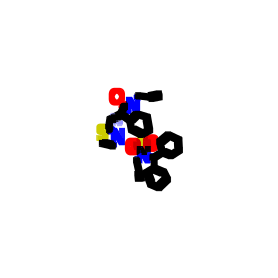 C#CCN1C(=O)/C(=C/c2nccs2)c2cc(S(=O)(=O)N(CC#C)C(c3ccccc3)c3ccccc3)ccc21